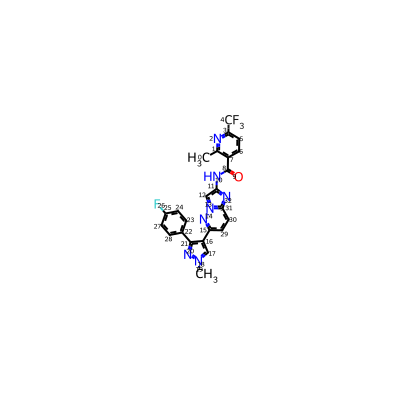 Cc1nc(C(F)(F)F)ccc1C(=O)Nc1cn2nc(-c3cn(C)nc3-c3ccc(F)cc3)ccc2n1